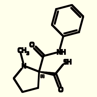 CN1CCC[C@@]1(C(=O)S)C(=O)Nc1ccccc1